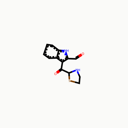 O=[C]c1[nH]c2ccccc2c1C(=O)C1NCCS1